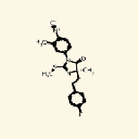 [C-]#[N+]c1ccc(N2C(=O)[C@@](C)(CCc3ccc(F)cc3)N=C2SC)cc1C